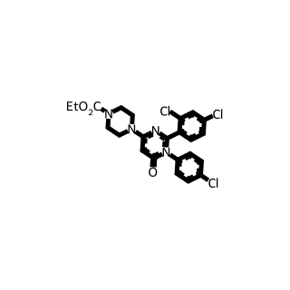 CCOC(=O)N1CCN(c2cc(=O)n(-c3ccc(Cl)cc3)c(-c3ccc(Cl)cc3Cl)n2)CC1